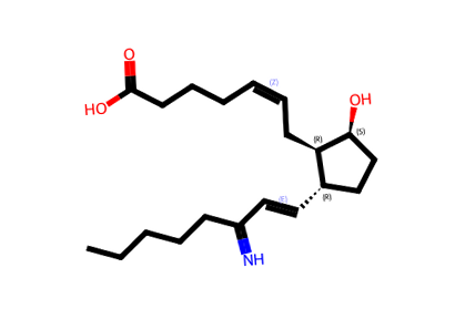 CCCCCC(=N)/C=C/[C@H]1CC[C@H](O)[C@@H]1C/C=C\CCCC(=O)O